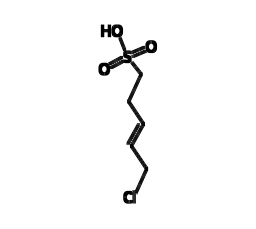 O=S(=O)(O)CC/C=C/CCl